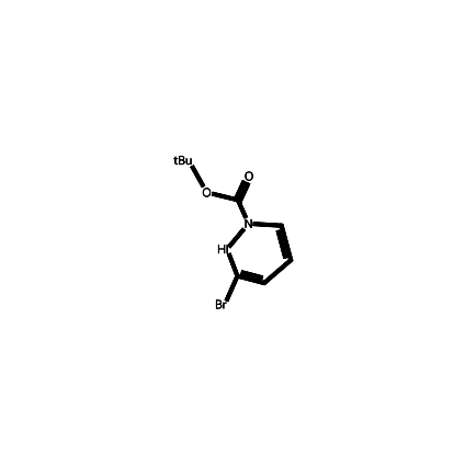 CC(C)(C)OC(=O)N1C=CC=C(Br)[IH]1